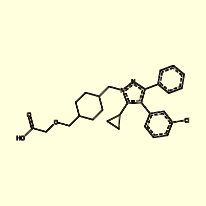 O=C(O)COCC1CCC(Cn2nc(-c3ccccc3)c(-c3cccc(Cl)c3)c2C2CC2)CC1